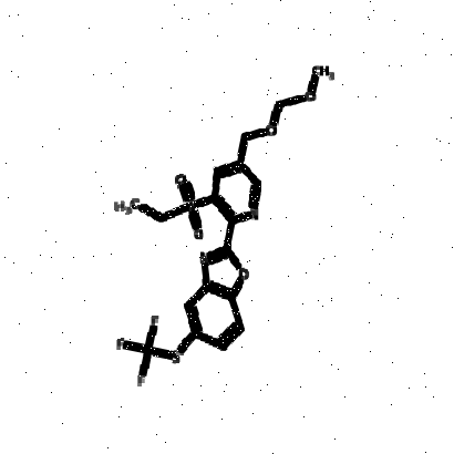 CCS(=O)(=O)c1cc(COCOC)cnc1-c1nc2cc(SC(F)(F)F)ccc2o1